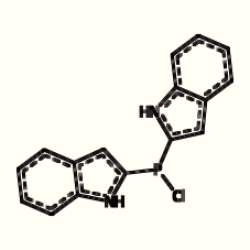 ClP(c1cc2ccccc2[nH]1)c1cc2ccccc2[nH]1